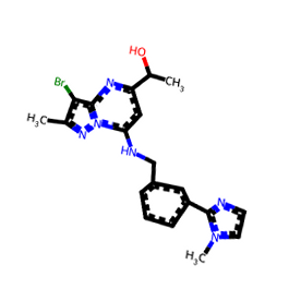 Cc1nn2c(NCc3cccc(-c4nccn4C)c3)cc(C(C)O)nc2c1Br